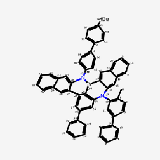 Cc1ccc(-c2ccccc2)cc1N1c2cc3ccccc3cc2B2c3c(cc(-c4ccccc4)cc31)-c1cc3ccccc3cc1N2c1ccc(-c2ccc(C(C)(C)C)cc2)cc1